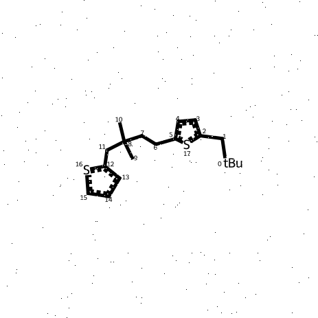 CC(C)(C)Cc1ccc(CCC(C)(C)Cc2cccs2)s1